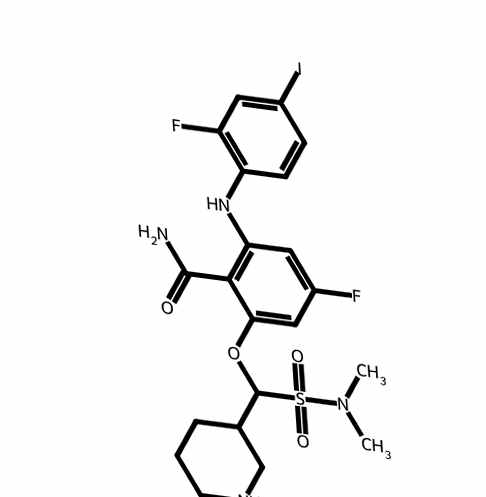 CN(C)S(=O)(=O)C(Oc1cc(F)cc(Nc2ccc(I)cc2F)c1C(N)=O)C1CCCNC1